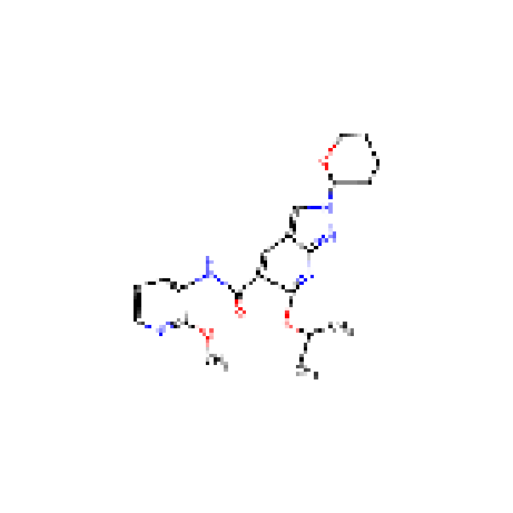 COc1ncccc1NC(=O)c1cc2cn(C3CCCCO3)nc2nc1OC(C)C